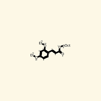 CCCCCCCCOC(=O)C=Cc1ccc(OCC)cc1OCC